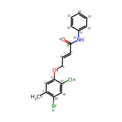 Cc1cc(OC/C=C/C(=O)Nc2ccccc2)c(Cl)cc1Br